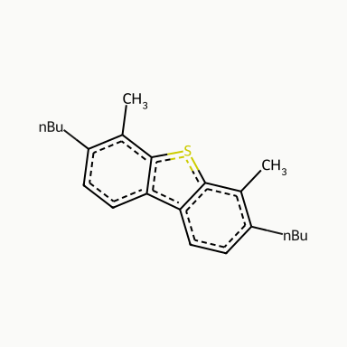 CCCCc1ccc2c(sc3c(C)c(CCCC)ccc32)c1C